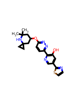 CC1(C)CC(Oc2ccc(-c3ncc(-c4nccs4)cc3O)nn2)CC2(CC2)N1